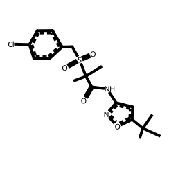 CC(C)(C)c1cc(NC(=O)C(C)(C)S(=O)(=O)Cc2ccc(Cl)cc2)no1